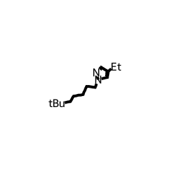 CCc1cnn(CCCCCC(C)(C)C)c1